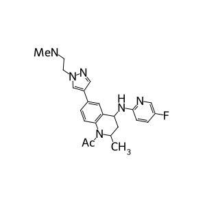 CNCCn1cc(-c2ccc3c(c2)C(Nc2ccc(F)cn2)CC(C)N3C(C)=O)cn1